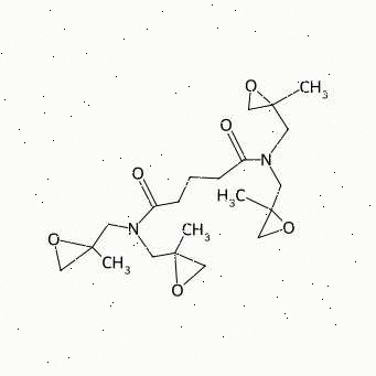 CC1(CN(CC2(C)CO2)C(=O)CCCC(=O)N(CC2(C)CO2)CC2(C)CO2)CO1